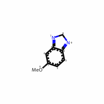 COc1ccc2c(c1)=NCN=2